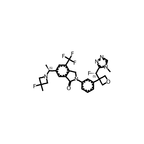 C[C@@H](c1cc2c(c(C(F)(F)F)c1)CN(c1cccc(C3([C@H](F)c4nncn4C)COC3)c1)C2=O)N1CC(C)(F)C1